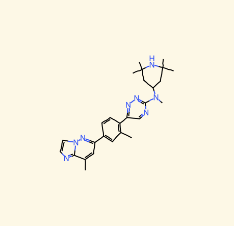 Cc1cc(-c2cc(C)c3nccn3n2)ccc1-c1cnc(N(C)C2CC(C)(C)NC(C)(C)C2)nn1